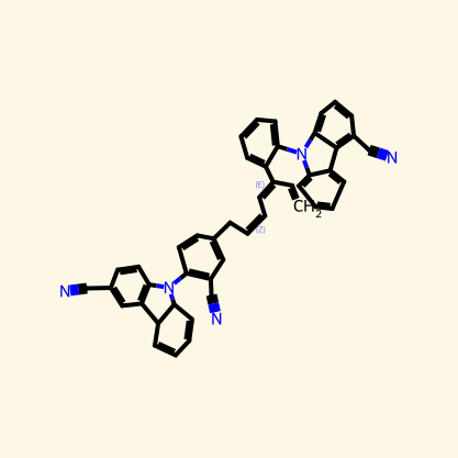 C=C/C(=C\C=C/Cc1ccc(N2c3ccc(C#N)cc3C3C=CC=CC32)c(C#N)c1)c1ccccc1-n1c2ccccc2c2c(C#N)cccc21